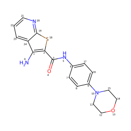 Nc1c(C(=O)Nc2ccc(N3CCOCC3)cc2)sc2ncccc12